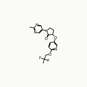 Cc1ncc(N2CCC(Oc3ccc(OCC(C)(F)F)nc3)C2=O)cn1